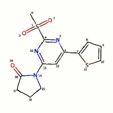 CS(=O)(=O)c1nc(-c2cccs2)cc(N2CCCC2=O)n1